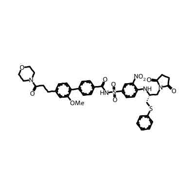 COc1cc(CCC(=O)N2CCOCC2)ccc1-c1ccc(C(=O)NS(=O)(=O)c2ccc(N[C@@H](CSc3ccccc3)CN3C(=O)CCC3=O)c([N+](=O)[O-])c2)cc1